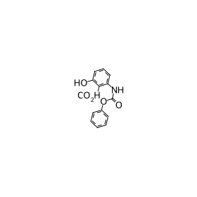 O=C(Nc1cccc(O)c1C(=O)O)Oc1ccccc1